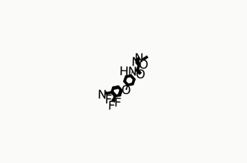 Cc1nnc(C(=O)N[C@H]2CC[C@H](Oc3ccc(C#N)c(C(F)(F)F)c3)CC2)o1